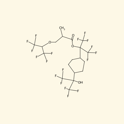 CC(COC(C(F)(F)F)C(F)(F)F)C(=O)OC(C1CCC(C(O)(C(F)(F)F)C(F)(F)F)CC1)(C(F)(F)F)C(F)(F)F